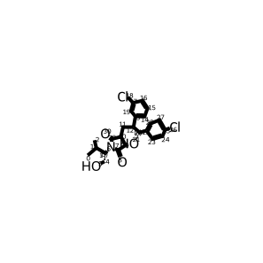 CC(C)[C@@H](CO)N1C(=O)CC(CC(c2cccc(Cl)c2)[C@@H](O)c2ccc(Cl)cc2)C1=O